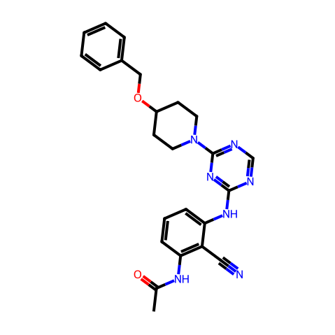 CC(=O)Nc1cccc(Nc2ncnc(N3CCC(OCc4ccccc4)CC3)n2)c1C#N